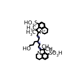 CC1(C)C(/C=C/C(=C/C=C2/N3CCCc4ccc(S(=O)(=O)O)c(c43)C2(C)C)CCCO)=[N+]2CCCc3ccc(S(=O)(=O)O)c1c32